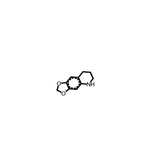 c1c2c(cc3c1OCO3)NCCC2